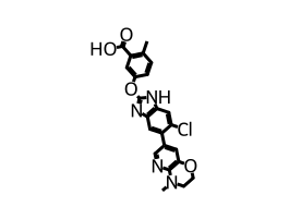 Cc1ccc(Oc2nc3cc(-c4cnc5c(c4)OCCN5C)c(Cl)cc3[nH]2)cc1C(=O)O